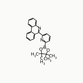 CC1(C)OB(c2cccc(-c3nc4ccccc4c4ccccc34)n2)OC1(C)C